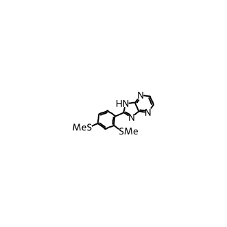 CSc1ccc(-c2nc3nccnc3[nH]2)c(SC)c1